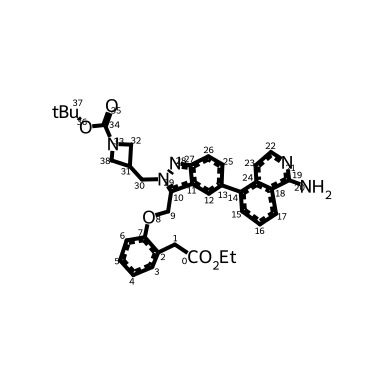 CCOC(=O)Cc1ccccc1OCc1c2cc(-c3cccc4c(N)nccc34)ccc2nn1CC1CN(C(=O)OC(C)(C)C)C1